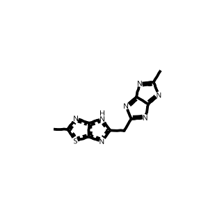 CC1=NC2=NC(Cc3nc4sc(C)nc4[nH]3)=NC2=N1